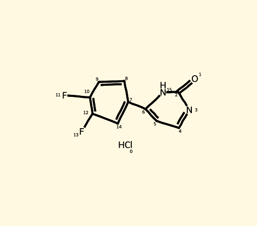 Cl.O=c1nccc(-c2ccc(F)c(F)c2)[nH]1